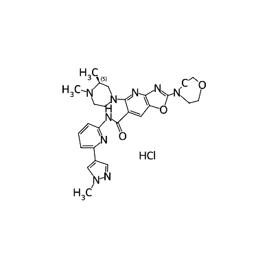 C[C@H]1CN(c2nc3nc(N4CCOCC4)oc3cc2C(=O)Nc2cccc(-c3cnn(C)c3)n2)CCN1C.Cl